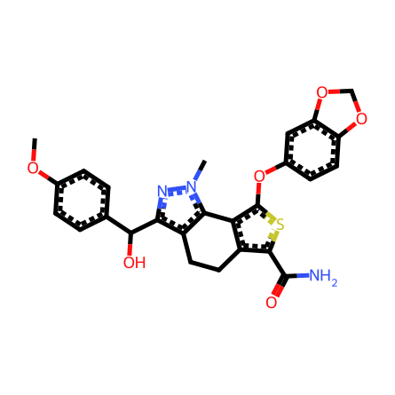 COc1ccc(C(O)c2nn(C)c3c2CCc2c(C(N)=O)sc(Oc4ccc5c(c4)OCO5)c2-3)cc1